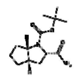 CC(C)(C)OC(=O)N1[C@H](C(N)=O)C[C@@H]2CCC[C@@H]21